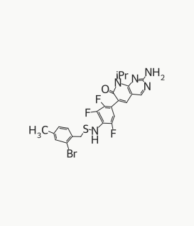 Cc1ccc(CSNc2c(F)cc(-c3cc4cnc(N)nc4n(C(C)C)c3=O)c(F)c2F)c(Br)c1